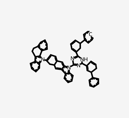 C1=CC(c2ccccc2)CC(C2=NC(n3c4c(c5ccccc53)=CC3CC(n5c6c(c7ccccc75)CCc5ccccc5-6)=CC=C3C=4)=NC(C3=CC(c4ccccc4)CC=C3)N2)=C1